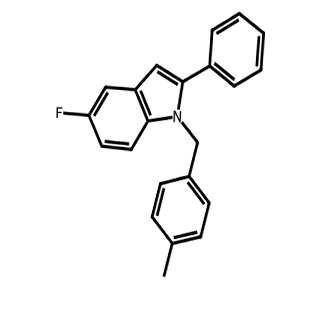 Cc1ccc(Cn2c(-c3ccccc3)cc3cc(F)ccc32)cc1